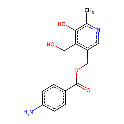 Cc1ncc(COC(=O)c2ccc(N)cc2)c(CO)c1O